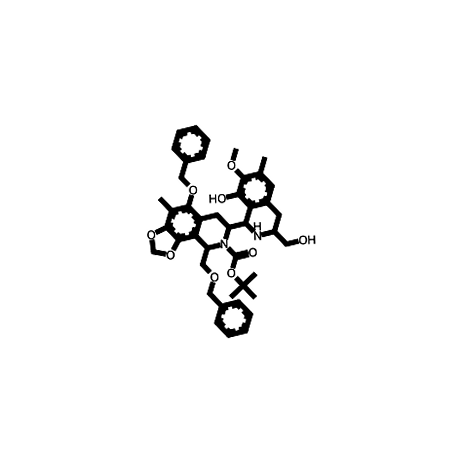 COc1c(C)cc2c(c1O)C(C1Cc3c(OCc4ccccc4)c(C)c4c(c3C(COCc3ccccc3)N1C(=O)OC(C)(C)C)OCO4)NC(CO)C2